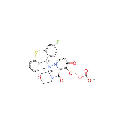 COC(=O)OCOc1c2n(ccc1=O)N([C@H]1c3ccc(F)cc3CSc3ccccc31)[C@@H]1COCCN1C2=O